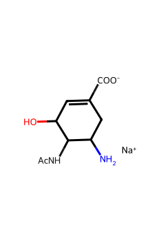 CC(=O)NC1C(O)C=C(C(=O)[O-])CC1N.[Na+]